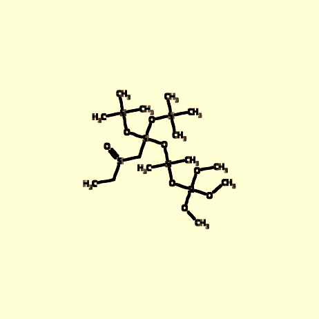 CC[Si](=O)C[Si](O[Si](C)(C)C)(O[Si](C)(C)C)O[Si](C)(C)O[Si](OC)(OC)OC